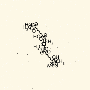 COCC1(C)OC(=O)C(/C=C/C=C/C=C2C(=O)OC(c3cc(C)c(C4OC(=O)C(/C=C/C=C/C=C5C(=O)OC(C)(O)OC5=O)=C(O)O4)cc3C)OC2=O)=C(O)O1